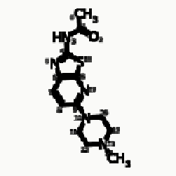 CC(=O)Nc1nc2ccc(N3CCN(C)CC3)nc2s1